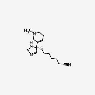 CN1CCC=C(C2(SCCCCCC#N)C=NSN2)C1